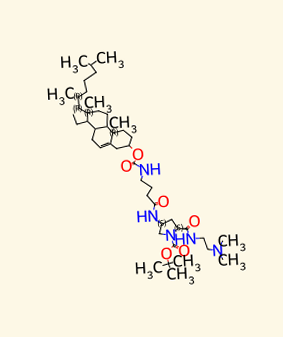 CC(C)CCC[C@@H](C)[C@H]1CCC2C3CC=C4CC(OC(=O)NCCCC(=O)N[C@H]5C[C@@H](C(=O)NCCN(C)C)N(C(=O)OC(C)(C)C)C5)CC[C@]4(C)C3CC[C@@]21C